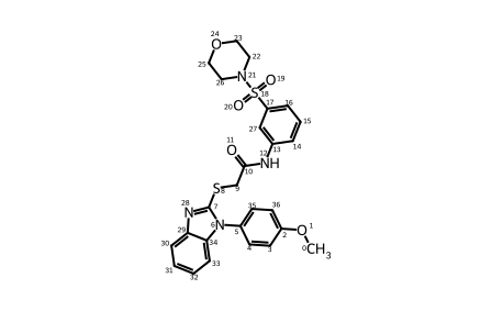 COc1ccc(-n2c(SCC(=O)Nc3cccc(S(=O)(=O)N4CCOCC4)c3)nc3ccccc32)cc1